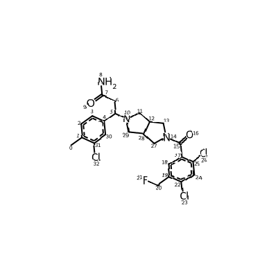 Cc1ccc(C(CC(N)=O)N2CC3CN(C(=O)c4cc(CF)c(Cl)cc4Cl)CC3C2)cc1Cl